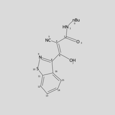 CCCCNC(=O)/C(C#N)=C(\O)c1nsc2ccccc12